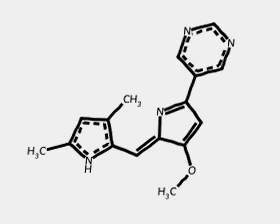 COC1=CC(c2cncnc2)=NC1=Cc1[nH]c(C)cc1C